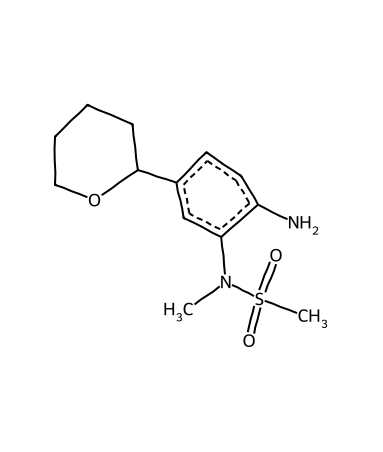 CN(c1cc(C2CCCCO2)ccc1N)S(C)(=O)=O